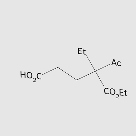 CCOC(=O)C(CC)(CCC(=O)O)C(C)=O